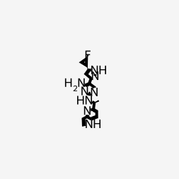 C[C@H](Nc1ncc(-c2cc([C@@H]3C[C@H]3F)[nH]n2)c(N)n1)c1ccc2[nH]ccc2n1